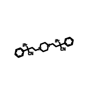 CC(C)C(C#N)(CCN1CCN(CCC(C#N)(c2ccccc2)C(C)C)CC1)c1ccccc1